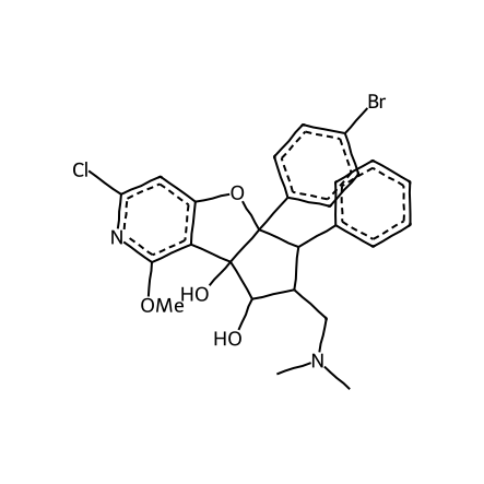 COc1nc(Cl)cc2c1C1(O)C(O)C(CN(C)C)C(c3ccccc3)C1(c1ccc(Br)cc1)O2